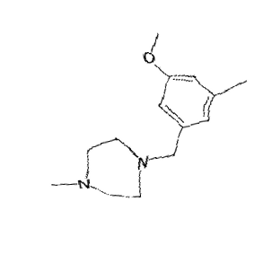 COc1cc(C)cc(CN2CCN(C)CC2)c1